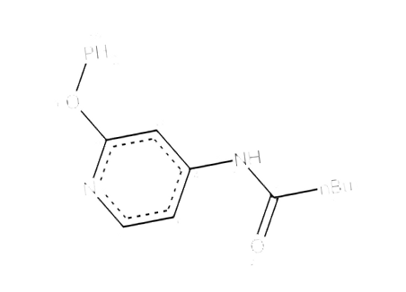 CCCCC(=O)Nc1ccnc(OP)c1